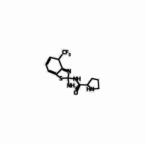 NC1(NC(=O)C2CCCN2)N=C2[C](C(F)(F)F)C=CC=C2S1